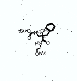 COCCNC(=O)[C@](O)(CNC(=O)OC(C)(C)C)Cc1ccccc1